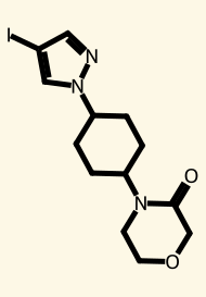 O=C1COCCN1C1CCC(n2cc(I)cn2)CC1